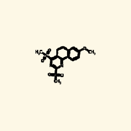 COc1ccc2c(c1)CCc1c-2nc(S(C)(=O)=O)nc1S(C)(=O)=O